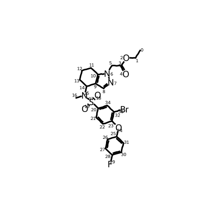 CCOC(=O)Cn1ncc2c1CCCC2N(C)S(=O)(=O)c1ccc(Oc2ccc(F)cc2)c(Br)c1